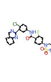 O=C(Nc1ccc(Cl)c(-c2ncc3ccccc3n2)c1)c1ccc(N2CCNS2(=O)=O)cc1F